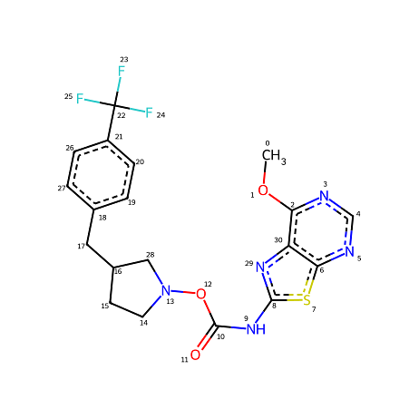 COc1ncnc2sc(NC(=O)ON3CCC(Cc4ccc(C(F)(F)F)cc4)C3)nc12